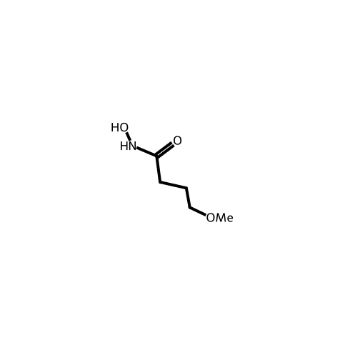 COCCCC(=O)NO